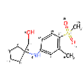 Cc1cc(NC2(CO)CCCC2)ccc1S(C)(=O)=O